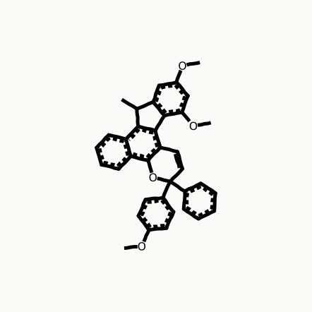 COc1ccc(C2(c3ccccc3)C=Cc3c4c(c5ccccc5c3O2)C(C)c2cc(OC)cc(OC)c2-4)cc1